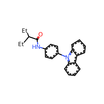 CCC(CC)C(=O)Nc1ccc(-n2c3ccccc3c3ccccc32)cc1